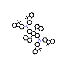 CC1(C)c2ccccc2-c2ccc(N(c3ccc4c(c3)C(C)(C)c3ccccc3-4)c3ccc4c(-c5cccc6ccccc56)c5cc(N(c6ccc7c(c6)C(C)(C)c6ccccc6-7)c6ccc7c(c6)C(C)(C)c6ccccc6-7)ccc5c(-c5cccc6ccccc56)c4c3)cc21